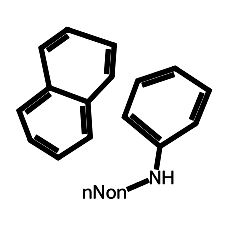 CCCCCCCCCNc1ccccc1.c1ccc2ccccc2c1